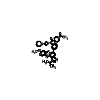 COc1cc(F)c(Nc2nc(-c3ccc4c(c3)N([C@H]3C[C@@H](N5CCCCC5)C3)C(=O)C43CCN(C(C)=O)CC3)cc3ncn(C(C)C)c23)cn1